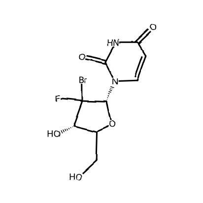 O=c1ccn([C@@H]2OC(CO)[C@H](O)C2(F)Br)c(=O)[nH]1